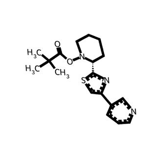 CC(C)(C)C(=O)ON1CCCC[C@@H]1c1nc(-c2cccnc2)cs1